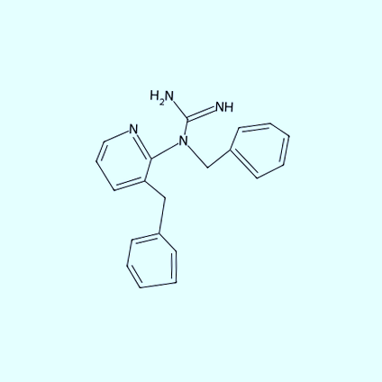 N=C(N)N(Cc1ccccc1)c1ncccc1Cc1ccccc1